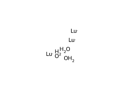 O.O.O.[Lu].[Lu].[Lu]